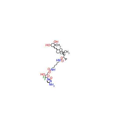 C=C1/C(=C\C=C2/CCC[C@@]3(C)C2CCC3[C@@H](C)/C=C/C(OC(=O)NCCCCCCNC(=O)OCC2OC(n3ccc(N)nc3=O)C(F)(F)C2O)C2CC2)C[C@@H](O)C[C@@H]1O